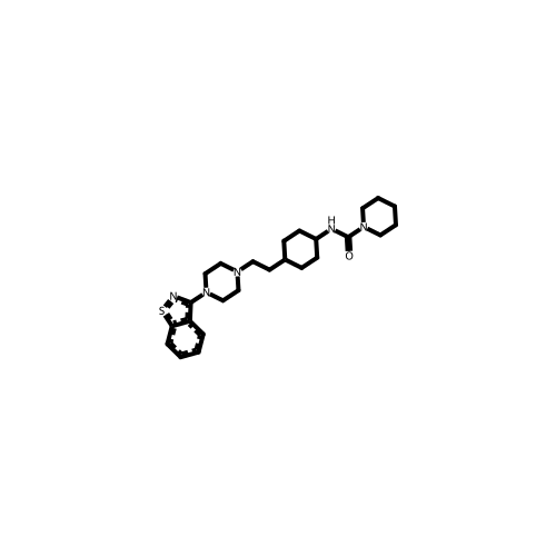 O=C(NC1CCC(CCN2CCN(c3nsc4ccccc34)CC2)CC1)N1CCCCC1